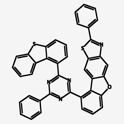 c1ccc(-c2nc(-c3cccc4oc5cc6nc(-c7ccccc7)sc6cc5c34)nc(-c3cccc4sc5ccccc5c34)n2)cc1